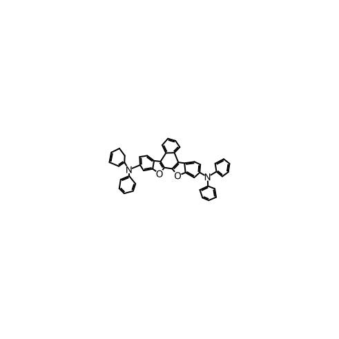 C1=CCCC(N(c2ccccc2)c2ccc3c(c2)oc2c4oc5cc(N(c6ccccc6)c6ccccc6)ccc5c4c4ccccc4c32)=C1